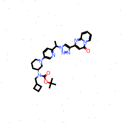 CC(c1ccc(N2CCC[C@@H](N(CC3CCC3)C(=O)OC(C)(C)C)C2)cn1)n1cc(-c2cc(=O)n3ccccc3n2)nn1